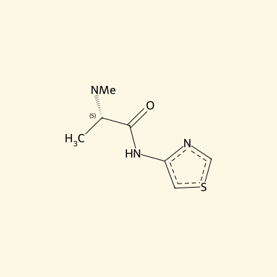 CN[C@@H](C)C(=O)Nc1cscn1